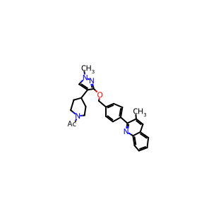 CC(=O)N1CCC(c2cn(C)nc2OCc2ccc(-c3nc4ccccc4cc3C)cc2)CC1